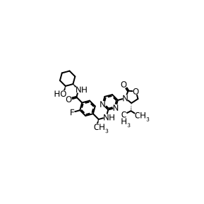 CC(C)[C@H]1COC(=O)N1c1ccnc(N[C@@H](C)c2ccc(C(=O)N[C@@H]3CCCC[C@@H]3O)c(F)c2)n1